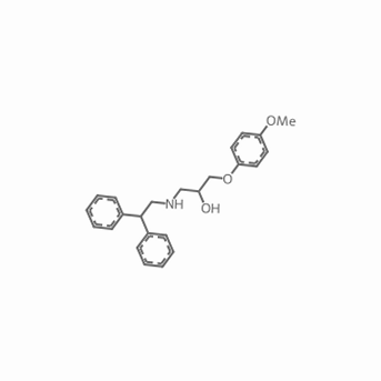 COc1ccc(OCC(O)CNCC(c2ccccc2)c2ccccc2)cc1